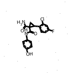 NC(=O)C1(C(=O)Nc2ccc(O)cc2)CC1c1ccc(F)cc1Cl